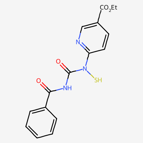 CCOC(=O)c1ccc(N(S)C(=O)NC(=O)c2ccccc2)nc1